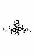 CC(=O)Nc1ccc(-c2ccc(NC(C)=O)cc2S(=O)(=O)O)c(S(=O)(=O)O)c1.c1ccncc1